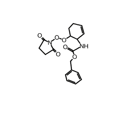 O=C(NC1C=CCCC1OON1C(=O)CCC1=O)OCc1ccccc1